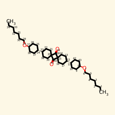 CCCCCCCO[C@H]1CC[C@H](C2CCC3(CC2)C(=O)C2(CCC([C@H]4CC[C@H](OCCCCCCC)CC4)CC2)C3=O)CC1